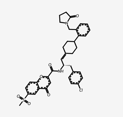 CS(=O)(=O)c1ccc2oc(C(=O)N[C@H](C=C3CCC(c4ccccc4CN4CCCC4=O)CC3)Cc3ccc(Cl)cc3)cc(=O)c2c1